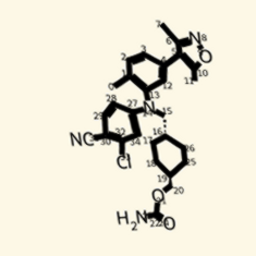 Cc1ccc(-c2c(C)noc2C)cc1N(C[C@H]1CC[C@H](COC(N)=O)CC1)c1ccc(C#N)c(Cl)c1